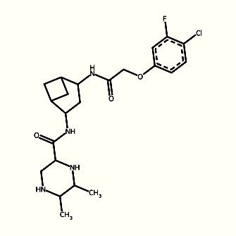 CC1NCC(C(=O)NC2CC(NC(=O)COc3ccc(Cl)c(F)c3)C3CC2C3)NC1C